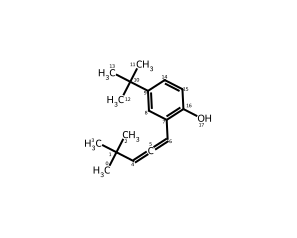 CC(C)(C)C=C=Cc1cc(C(C)(C)C)ccc1O